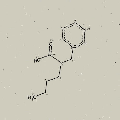 CCCCC(Cc1cccnc1)C(=O)O